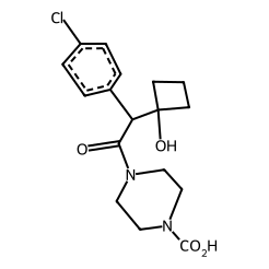 O=C(O)N1CCN(C(=O)C(c2ccc(Cl)cc2)C2(O)CCC2)CC1